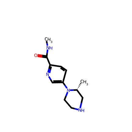 CNC(=O)c1ccc(N2CCNC[C@H]2C)cn1